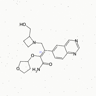 NC(=O)/C(OC1CCOC1)=C(/CN1CCC1CO)c1ccc2ncncc2c1